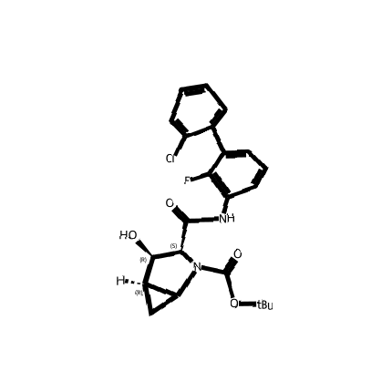 CC(C)(C)OC(=O)N1C2C[C@H]2[C@@H](O)[C@H]1C(=O)Nc1cccc(-c2ccccc2Cl)c1F